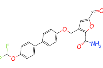 NC(=O)c1oc([C]=O)cc1COc1ccc(-c2ccc(OC(F)F)cc2)cc1